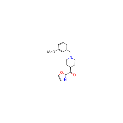 COc1cccc(CN2CCC(C(=O)c3ncco3)CC2)c1